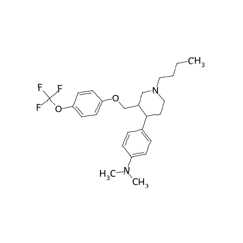 CCCCN1CCC(c2ccc(N(C)C)cc2)C(COc2ccc(OC(F)(F)F)cc2)C1